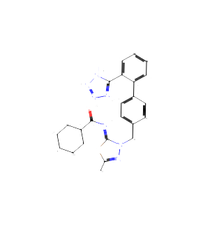 CCc1nn(Cc2ccc(-c3ccccc3-c3nnn[nH]3)cc2)c(=NC(=O)C2CCCCC2)s1